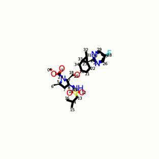 COC(=O)N1[C@H](C)C[C@H](NS(=O)(=O)CC(C)C)[C@@H]1CO[C@H]1CC[C@@]2(c3ncc(F)cn3)C(C)C2C1